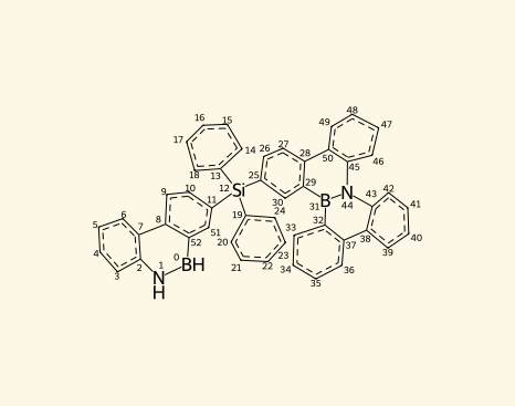 B1Nc2ccccc2-c2ccc([Si](c3ccccc3)(c3ccccc3)c3ccc4c(c3)B3c5ccccc5-c5ccccc5N3c3ccccc3-4)cc21